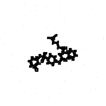 CN(C)CCCNc1nc(CN2CCN(S(=O)(=O)Cc3cccc(Cl)c3)CC2)nc2ccccc12